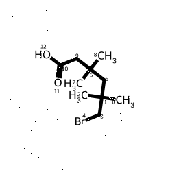 CC(C)(CBr)CC(C)(C)CC(=O)O